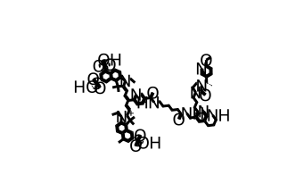 CCN1/C(=C/C=C(/C=C/C2=[N+](CC)c3ccc4c(C)cc(S(=O)(=O)O)cc4c3C2(C)C)c2ccc(C(=O)NCCCCCC(=O)NCc3cc4c(nc3CCCN3CCN([C@@H](C)c5ccc(OC)nc5)C3=O)NCCC4)cn2)C(C)(C)c2c1ccc1c(S(=O)(=O)O)cc(S(=O)(=O)O)cc21